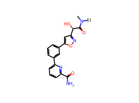 CCN(C)C(=O)[C@H](O)c1cc(-c2cccc(-c3cccc(C(N)=O)n3)c2)on1